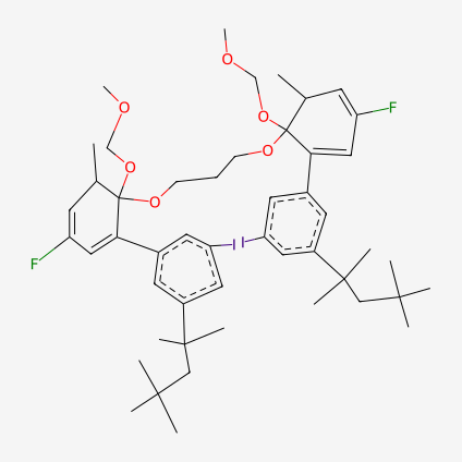 COCOC1(OCCCOC2(OCOC)C(c3cc(I)cc(C(C)(C)CC(C)(C)C)c3)=CC(F)=CC2C)C(c2cc(I)cc(C(C)(C)CC(C)(C)C)c2)=CC(F)=CC1C